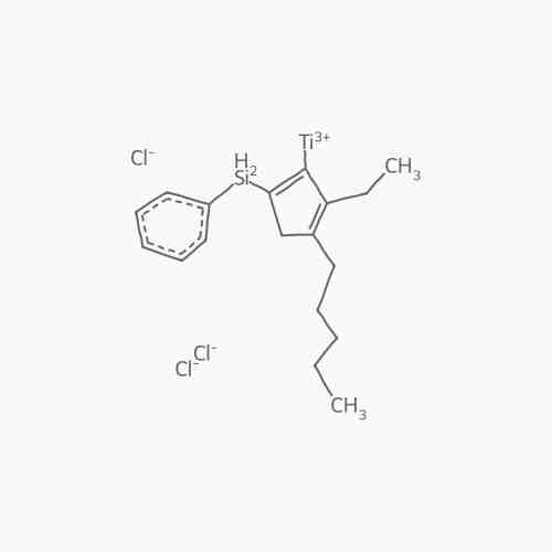 CCCCCC1=C(CC)[C]([Ti+3])=C([SiH2]c2ccccc2)C1.[Cl-].[Cl-].[Cl-]